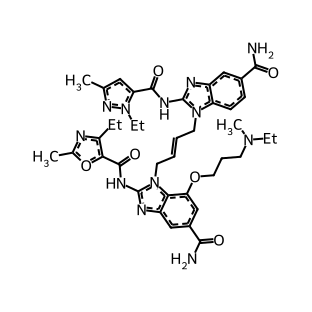 CCc1nc(C)oc1C(=O)Nc1nc2cc(C(N)=O)cc(OCCCN(C)CC)c2n1CC=CCn1c(NC(=O)c2cc(C)nn2CC)nc2cc(C(N)=O)ccc21